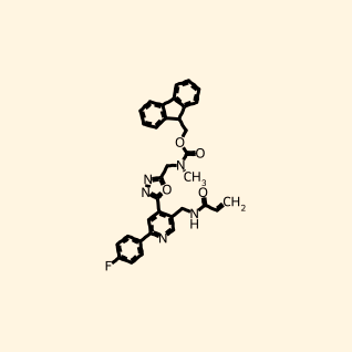 C=CC(=O)NCc1cnc(-c2ccc(F)cc2)cc1-c1nnc(CN(C)C(=O)OCC2c3ccccc3-c3ccccc32)o1